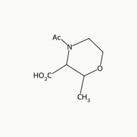 CC(=O)N1CCOC(C)C1C(=O)O